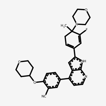 CC1(N2CCOCC2)CC=C(c2cc3c(-c4ccc(OC5CCOCC5)c(C#N)c4)ccnc3[nH]2)C=C1F